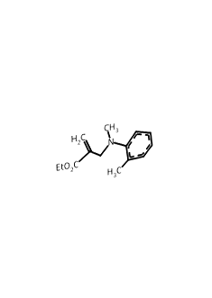 C=C(CN(C)c1ccccc1C)C(=O)OCC